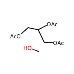 CC(=O)OCC(COC(C)=O)OC(C)=O.CO